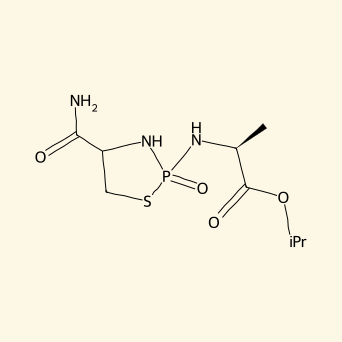 CC(C)OC(=O)[C@H](C)NP1(=O)NC(C(N)=O)CS1